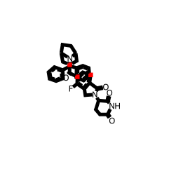 O=C1CCC(N2Cc3c(ccc(C(=O)N4CC5CCC(C4)N5C(c4ccccc4)c4ccccc4)c3F)C2=O)C(=O)N1